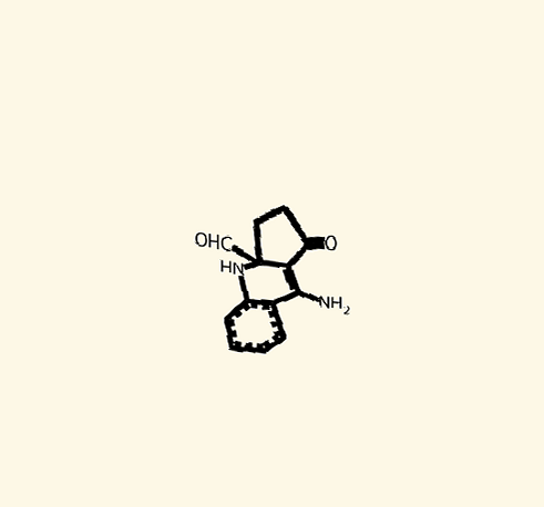 NC1=C2C(=O)CCC2(C=O)Nc2ccccc21